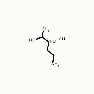 CC(C)CC[CH2][AlH2].Cl.Cl